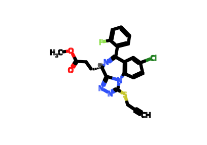 C#CCSc1nnc2n1-c1ccc(Cl)cc1C(c1ccccc1F)=N[C@H]2CCC(=O)OC